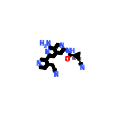 N#CCc1ccncc1-c1cc2cc(NC(=O)[C@H]3C[C@@H]3C#N)ncc2c(N)n1